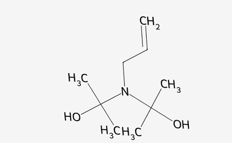 C=CCN(C(C)(C)O)C(C)(C)O